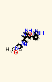 CC(=O)N1CCC(n2cc(-c3cnc(N)c4oc(-c5cccc6[nH]ncc56)cc34)cn2)CC1